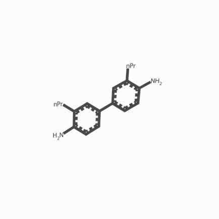 CCCc1cc(-c2ccc(N)c(CCC)c2)ccc1N